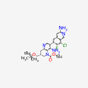 CC(C)(C)OC(=O)N1CC(CO[Si](C)(C)C(C)(C)C)Cc2ncc(-c3cc4cc(N)ncc4c(Cl)c3F)c(N)c21